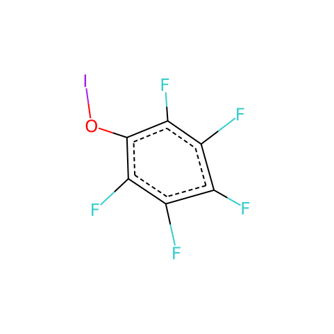 Fc1c(F)c(F)c(OI)c(F)c1F